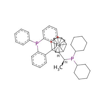 C[C@H](P(C1CCCCC1)C1CCCCC1)[C@@]12[CH]3[CH]4[CH]5[C]1(c1ccccc1P(c1ccccc1)c1ccccc1)[Fe]45321678[CH]2[CH]1[CH]6[CH]7[CH]28